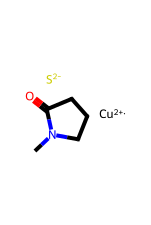 CN1CCCC1=O.[Cu+2].[S-2]